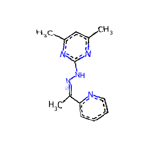 C/C(=N/Nc1nc(C)cc(C)n1)c1ccccn1